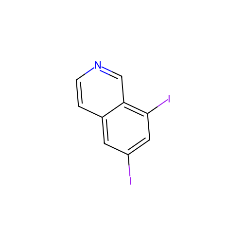 Ic1cc(I)c2cnccc2c1